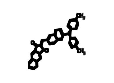 Cc1ccc(N(c2ccc(C)cc2)c2ccc3cc(C=C4C(=O)c5cc6ccccc6cc5C4=O)ccc3c2)cc1